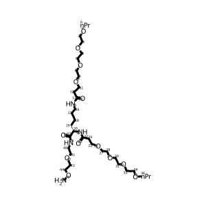 CCCOCCOCCOCCOCCC(=O)NCCCC[C@H](NC(=O)CCOCCOCCOCCOCCC)C(=O)NCCOCCON